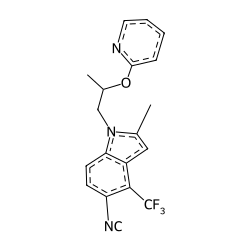 [C-]#[N+]c1ccc2c(cc(C)n2CC(C)Oc2ccccn2)c1C(F)(F)F